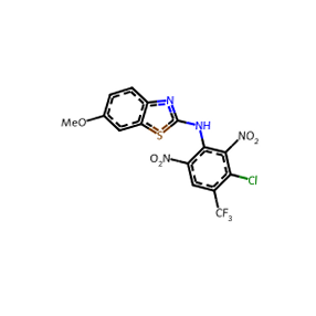 COc1ccc2nc(Nc3c([N+](=O)[O-])cc(C(F)(F)F)c(Cl)c3[N+](=O)[O-])sc2c1